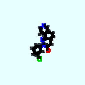 O=C1CC2CCc3cnccc3C2=NN1c1cccc(Cl)c1